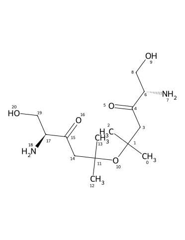 CC(C)(CC(=O)[C@@H](N)CO)OC(C)(C)CC(=O)[C@@H](N)CO